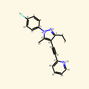 CCc1nn(-c2ccc(F)cc2)c(C)c1C#Cc1ccccn1